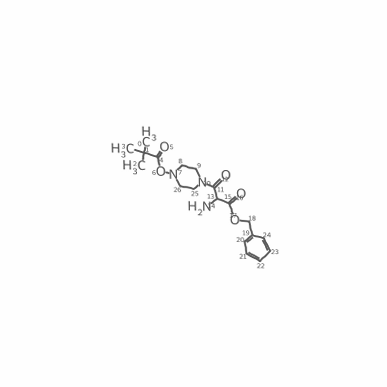 CC(C)(C)C(=O)ON1CCN(C(=O)C(N)C(=O)OCc2ccccc2)CC1